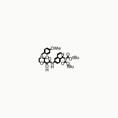 COc1ccc(CN2CCO[C@H]([C@@H](O)C(=O)Nc3ccc4c(N(C(=O)OC(C)(C)C)C(=O)OC(C)(C)C)nccc4c3)C2=O)cc1